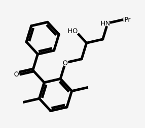 Cc1ccc(C)c(C(=O)c2ccccc2)c1OCC(O)CNC(C)C